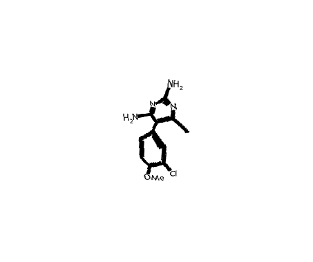 COc1ccc(-c2c(C)nc(N)nc2N)cc1Cl